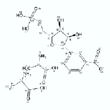 CC(N)C(=O)O.CC(N)C(=O)O.O=C([O-])c1ccc[n+]([C@@H]2O[C@H](COP(=O)(O)O)[C@@H](O)[C@H]2O)c1